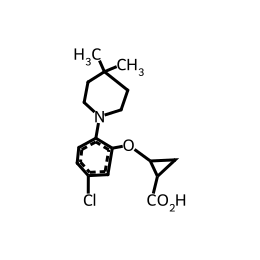 CC1(C)CCN(c2ccc(Cl)cc2OC2CC2C(=O)O)CC1